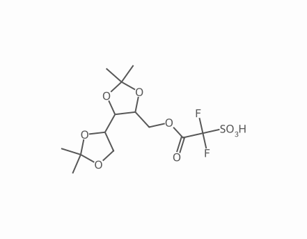 CC1(C)OCC(C2OC(C)(C)OC2COC(=O)C(F)(F)S(=O)(=O)O)O1